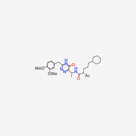 COc1ccc(Cc2nnc(C(C)NC(=O)C(CCCC3CCCCC3)C(C)=O)c(=O)[nH]2)cc1OC